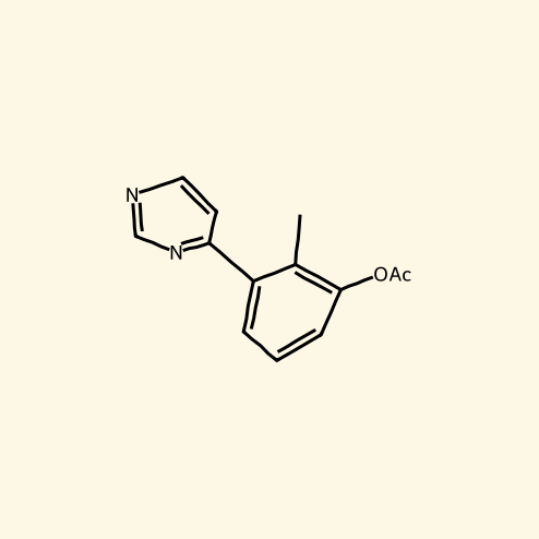 CC(=O)Oc1cccc(-c2ccncn2)c1C